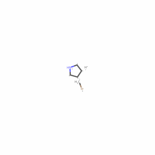 C1CCNC1.CBr.[H+]